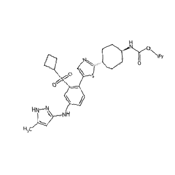 Cc1cc(Nc2ccc(-c3cnc([C@H]4CC[C@H](NC(=O)OC(C)C)CC4)s3)c(S(=O)(=O)C3CCC3)c2)n[nH]1